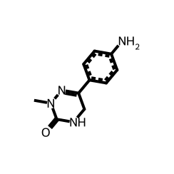 CN1N=C(c2ccc(N)cc2)CNC1=O